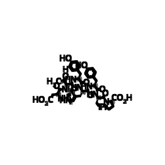 CC(C)C[C@H](NC(=O)[C@H](Cc1ccc(O)cc1)NC(=O)[C@H](Cc1c[nH]cn1)NC(=O)[C@H](Cc1ccc(O)cc1)NC(=O)[C@@H](NC(=O)[C@@H](N)CC(=O)O)[C@@H](C)O)C(=O)N1CCC[C@H]1C(=O)O